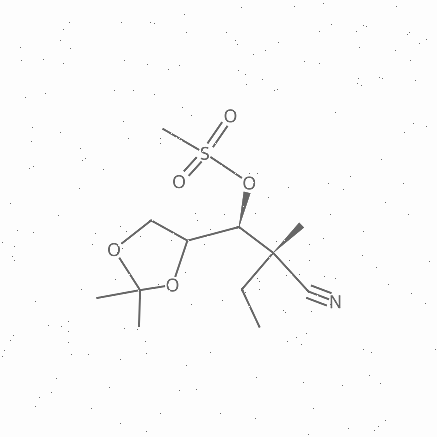 CC[C@@](C)(C#N)[C@H](OS(C)(=O)=O)C1COC(C)(C)O1